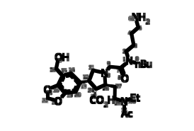 CCCCN(CCCCN)C(=O)CN1C[C@H](c2cc(CO)c3c(c2)OCO3)[C@@H](C(=O)O)[C@@H]1CCN(CC)C(C)=O